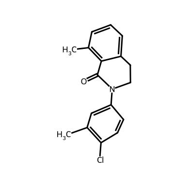 Cc1cc(N2CCc3cccc(C)c3C2=O)ccc1Cl